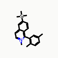 Cc1ccc(C)c(-c2c3ccc([Si](C)(C)C)cc3cc[n+]2C)c1